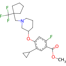 COC(=O)c1cc(C2CC2)c(OC2CCCN(CC3(C(F)(F)F)CCCC3)C2)cc1F